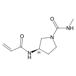 C=CC(=O)N[C@@H]1CCN(C(=O)NC)C1